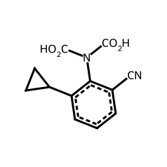 N#Cc1cccc(C2CC2)c1N(C(=O)O)C(=O)O